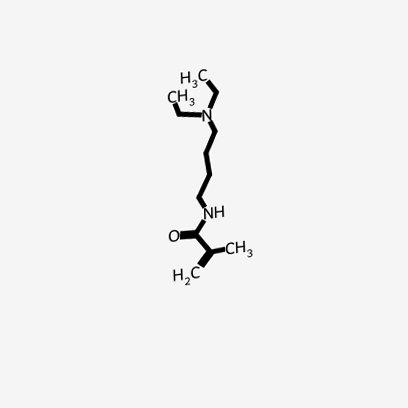 C=C(C)C(=O)NCCCCN(CC)CC